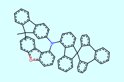 CC1(C)c2ccccc2-c2ccc(N(c3cccc4c3-c3ccccc3C43c4ccccc4-c4ccccc4-c4ccccc43)c3cccc4oc5ccccc5c34)cc21